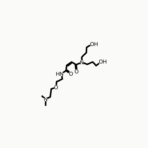 CN(C)CCOCCNC(=O)/C=C\C(=O)N(CCCO)CCCO